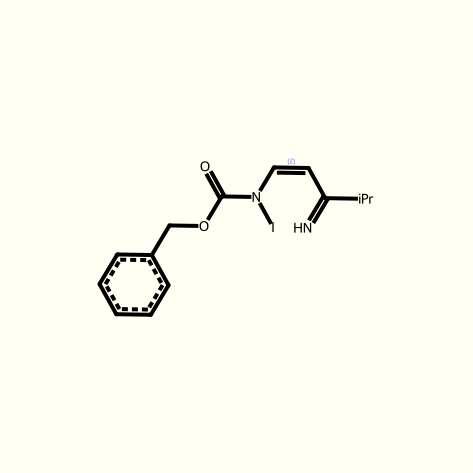 CC(C)C(=N)/C=C\N(I)C(=O)OCc1ccccc1